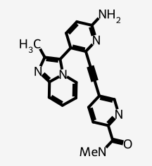 CNC(=O)c1ccc(C#Cc2nc(N)ccc2-c2c(C)nc3ccccn23)cn1